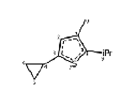 Cc1cc(C2CC2)sc1C(C)C